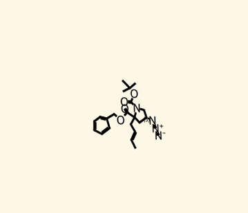 CC=CCC1(C(=O)OCc2ccccc2)C[C@H](N=[N+]=[N-])CN1C(=O)OC(C)(C)C